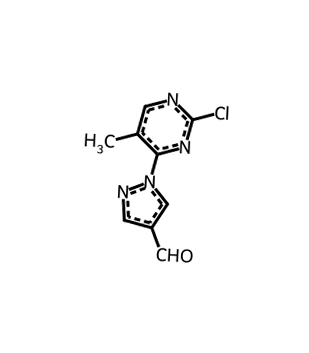 Cc1cnc(Cl)nc1-n1cc(C=O)cn1